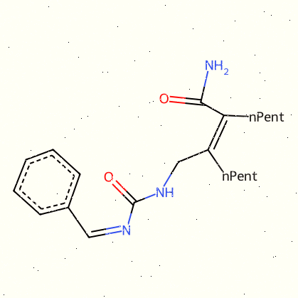 CCCCC/C(CNC(=O)/N=C\c1ccccc1)=C(\CCCCC)C(N)=O